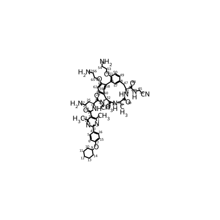 Cc1nc(-c2ccc(OC3CCCCC3)cc2)nc(C)c1C(=O)N[C@@H](CCN)C(=O)N(C)[C@@H]1C(=O)N[C@@H](C)C(=O)N[C@H](C(=O)NCC#N)Cc2ccc(OCCN)c(c2)-c2cc1ccc2OCCN